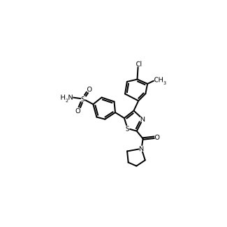 Cc1cc(-c2nc(C(=O)N3CCCC3)sc2-c2ccc(S(N)(=O)=O)cc2)ccc1Cl